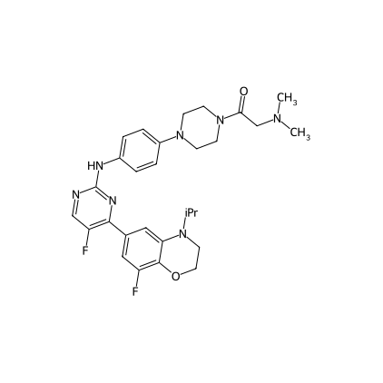 CC(C)N1CCOc2c(F)cc(-c3nc(Nc4ccc(N5CCN(C(=O)CN(C)C)CC5)cc4)ncc3F)cc21